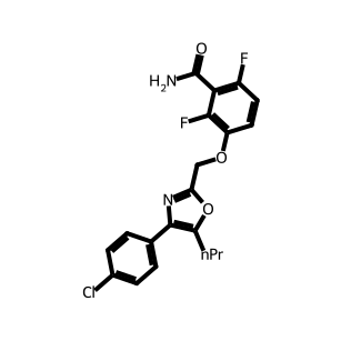 CCCc1oc(COc2ccc(F)c(C(N)=O)c2F)nc1-c1ccc(Cl)cc1